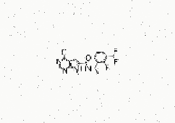 C[C@@H](NC(=O)c1cc2c(Cl)ncnc2n1C)c1cccc(C(F)F)c1F